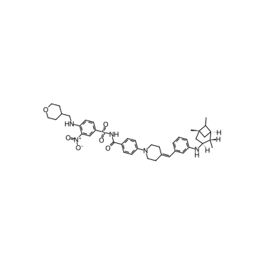 CC1[C@@H]2C[C@]1(C)C[C@H](Nc1cccc(C=C3CCN(c4ccc(C(=O)NS(=O)(=O)c5ccc(NCC6CCOCC6)c([N+](=O)[O-])c5)cc4)CC3)c1)[C@H]2C